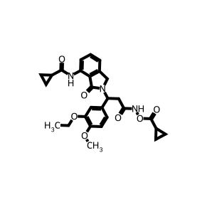 CCOc1cc(C(CC(=O)NOC(=O)C2CC2)N2Cc3cccc(NC(=O)C4CC4)c3C2=O)ccc1OC